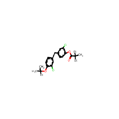 CCC(C)(C)Oc1ccc(Cc2ccc(OC(=O)C(C)(CC)CC)c(Cl)c2)cc1Cl